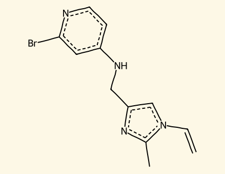 C=Cn1cc(CNc2ccnc(Br)c2)nc1C